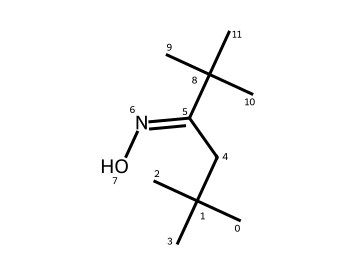 CC(C)(C)C/C(=N\O)C(C)(C)C